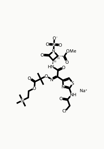 COC(=O)[C@@H]1[C@H](NC(=O)C(=NOC(C)(C)C(=O)OCC[Si](C)(C)C)c2csc(NC(=O)CCl)n2)C(=O)N1S(=O)(=O)[O-].[Na+]